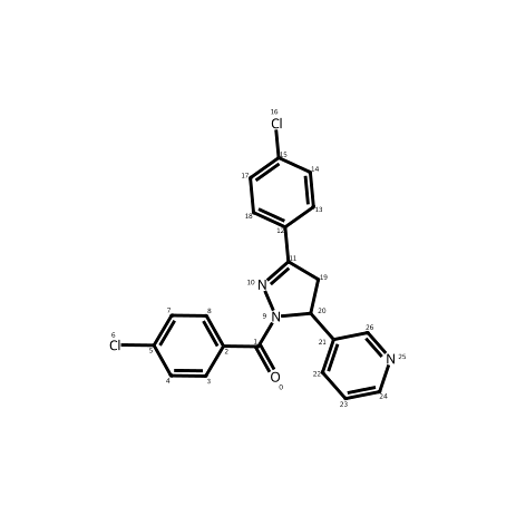 O=C(c1ccc(Cl)cc1)N1N=C(c2ccc(Cl)cc2)CC1c1cccnc1